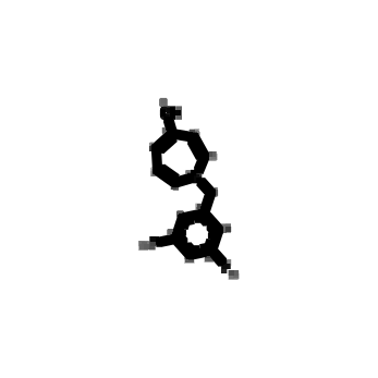 OC1=CC=CN(Cc2cc(F)cc(F)c2)C=C1